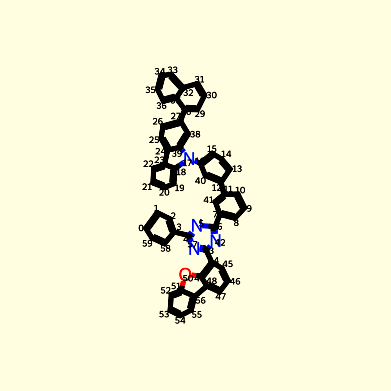 c1ccc(-c2nc(-c3cccc(-c4cccc(-n5c6ccccc6c6ccc(-c7cccc8ccccc78)cc65)c4)c3)nc(-c3cccc4c3oc3ccccc34)n2)cc1